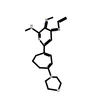 C=C/N=C1/C=C(C2=CC=C(N3CCOCC3)CCC2)N=C(NC)/C1=N/C